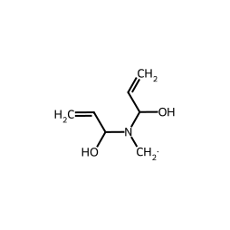 [CH2]N(C(O)C=C)C(O)C=C